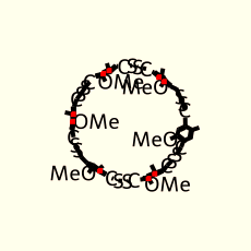 COc1cc2c(C)cc1CSSCc1cc(OC)c(cc1C)CSSCc1cc(OC)c(cc1C)CSSCc1cc(OC)c(cc1C)CSSCc1cc(C)c(cc1OC)CSSCc1cc(C)c(cc1OC)CSSC2